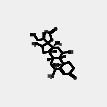 CCC(=O)O[C@]1(C(=O)CO)C(C)C[C@H]2[C@@H]3CC(C)C4=CC(=O)CC[C@]4(C)[C@H]3C(O)C[C@@]21C